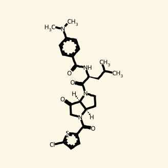 CC(C)C[C@H](NC(=O)c1ccc(N(C)C)cc1)C(=O)N1CC[C@@H]2[C@H]1C(=O)CN2C(=O)c1ccc(Cl)s1